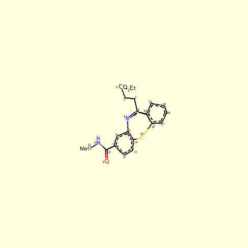 CCOC(=O)CCC1=Nc2cc(C(=O)NOC)ccc2Sc2ccccc21